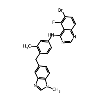 Cc1cc(Nc2ncnc3ccc(Br)c(F)c23)ccc1Cc1ccc2c(c1)ncn2C